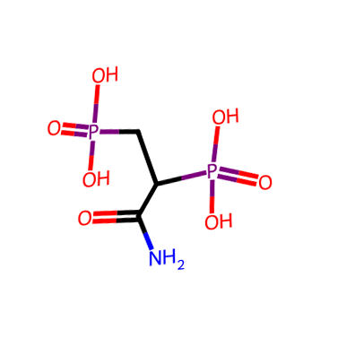 NC(=O)C(CP(=O)(O)O)P(=O)(O)O